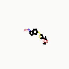 CC1(C)OCC(C)(c2csc(Sc3ccc4c(c3)CC/C4=N\O)c2)O1